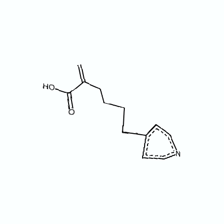 C=C(CCCCc1ccncc1)C(=O)O